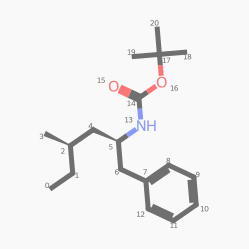 CC[C@@H](C)C[C@H](Cc1ccccc1)NC(=O)OC(C)(C)C